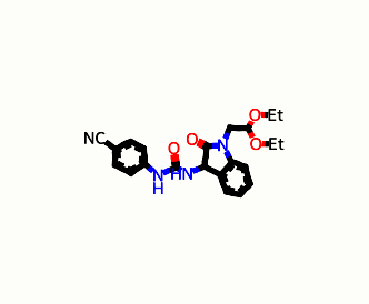 CCOC(CN1C(=O)C(NC(=O)Nc2ccc(C#N)cc2)c2ccccc21)OCC